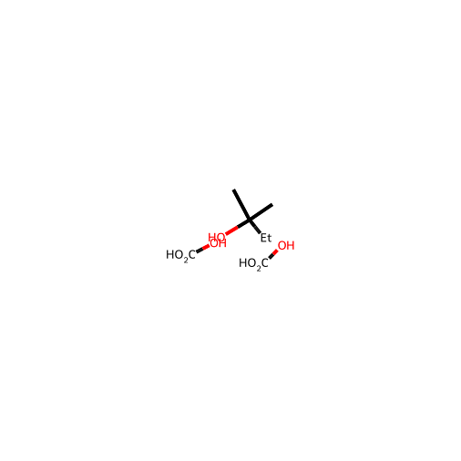 CCC(C)(C)O.O=C(O)O.O=C(O)O